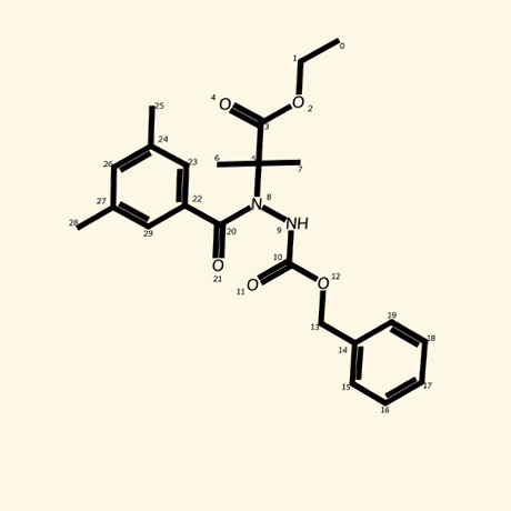 CCOC(=O)C(C)(C)N(NC(=O)OCc1ccccc1)C(=O)c1cc(C)cc(C)c1